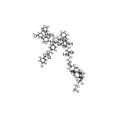 COc1ccc(C(NCCCC[C@@H](NC(=O)[C@H](Cc2ccccc2)NC(=O)CCC(=O)NCCCO[C@H]2CC[C@@]3(C)C(=CC[C@H]4[C@@H]5CC[C@H]([C@H](C)CCCC(C)C)[C@@]5(C)CC[C@@H]43)C2)C(=O)Nc2ccc(COC(=O)Oc3ccc(C)cc3)cc2)(c2ccccc2)c2ccccc2)cc1